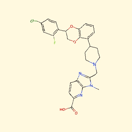 Cn1c(CN2CCC(c3cccc4c3OCC(c3ccc(Cl)cc3F)O4)CC2)nc2ccc(C(=O)O)nc21